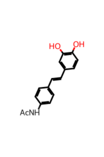 CC(=O)Nc1ccc(C=Cc2ccc(O)c(O)c2)cc1